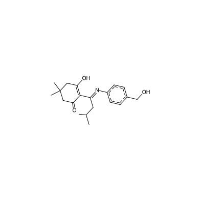 CC(C)CC(=Nc1ccc(CO)cc1)C1=C(O)CC(C)(C)CC1=O